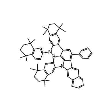 CC1(C)CCC(C)(C)c2cc(N3B4c5cc6c(cc5-n5c7cc8ccccc8cc7c7c(-c8ccccc8)cc(c4c75)-c4cc5c(cc43)C(C)(C)CCC5(C)C)C(C)(C)CCC6(C)C)ccc21